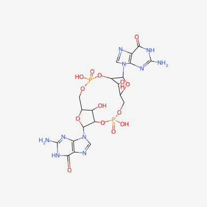 Nc1nc2c(ncn2C2OC3COP(=O)(O)OC4C(O)C(COP(=O)(O)OC2C3O)OC4n2cnc3c(=O)[nH]c(N)nc32)c(=O)[nH]1